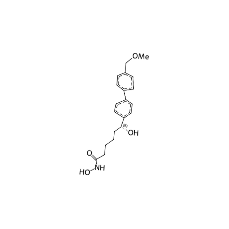 COCc1ccc(-c2ccc([C@H](O)CCCCC(=O)NO)cc2)cc1